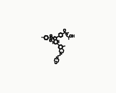 Cc1ccc(S(=O)(=O)n2cc(-c3ccc(C(=O)N(C)CC(C)O)cc3)c3nc(-c4cc(C)c5c(c4)CN(CCN4CCOCC4)CC5)cnc32)cc1